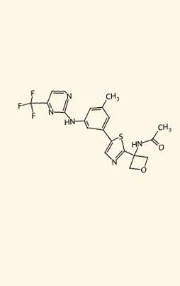 CC(=O)NC1(c2ncc(-c3cc(C)cc(Nc4nccc(C(F)(F)F)n4)c3)s2)COC1